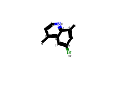 Cc1ccnc2c(C)cc(Br)cc12